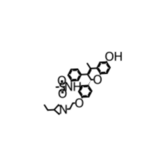 CCC1CN(CCOc2ccc([C@H]3Oc4ccc(O)cc4C(C)=C3c3cccc(NS(C)(=O)=O)c3)cc2)C1